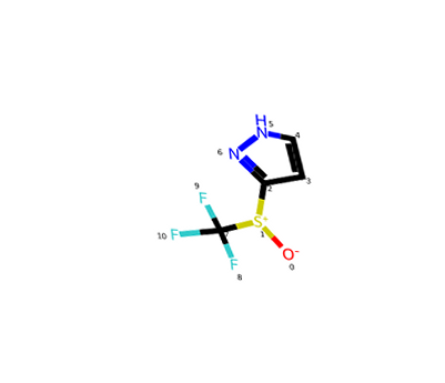 [O-][S+](c1cc[nH]n1)C(F)(F)F